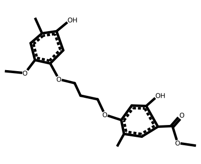 COC(=O)c1cc(C)c(OCCCOc2cc(O)c(C)cc2OC)cc1O